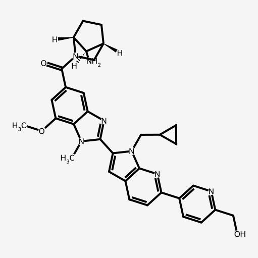 COc1cc(C(=O)N2C[C@H]3CC[C@@H]2[C@@H]3N)cc2nc(-c3cc4ccc(-c5ccc(CO)nc5)nc4n3CC3CC3)n(C)c12